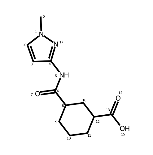 Cn1ccc(NC(=O)C2CCCC(C(=O)O)C2)n1